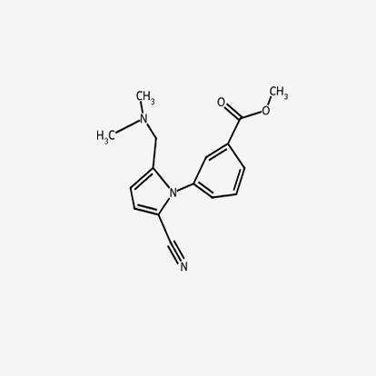 COC(=O)c1cccc(-n2c(C#N)ccc2CN(C)C)c1